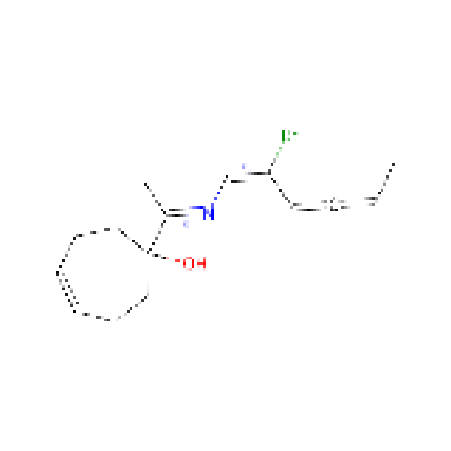 CC=C=C/C(Br)=C\N=C(/C)C1(O)CCC=CCC1